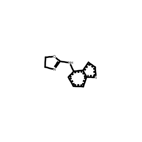 c1cc(NC2=NCCO2)c2ccsc2c1